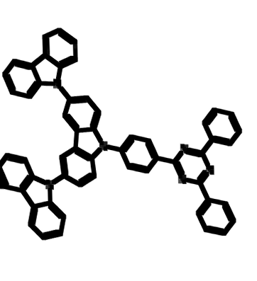 c1ccc2c(c#1)c1ccccc1n2-c1ccc2c(c1)c1cc(-n3c4ccccc4c4ccccc43)ccc1n2-c1ccc(-c2nc(-c3ccccc3)nc(-c3ccccc3)n2)cc1